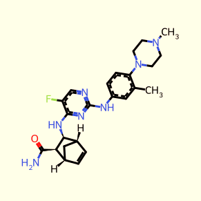 Cc1cc(Nc2ncc(F)c(N[C@@H]3[C@H](C(N)=O)[C@H]4C=C[C@@H]3C4)n2)ccc1N1CCN(C)CC1